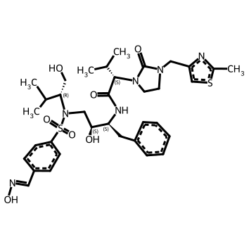 Cc1nc(CN2CCN([C@H](C(=O)N[C@@H](Cc3ccccc3)[C@@H](O)CN([C@@H](CO)C(C)C)S(=O)(=O)c3ccc(C=NO)cc3)C(C)C)C2=O)cs1